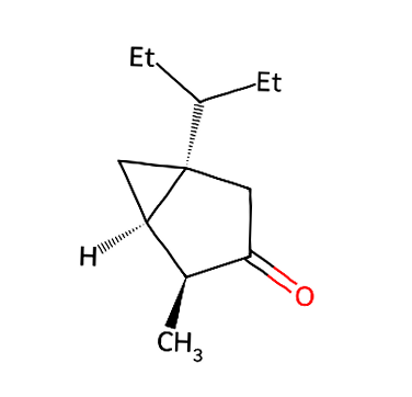 CCC(CC)[C@]12CC(=O)[C@@H](C)[C@H]1C2